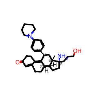 C[C@]12C[C@H](c3ccc(N4CCCCC4)cc3)C3=C4CCC(=O)C=C4CC[C@H]3[C@@H]1CC[C@@]2(N)CCCO